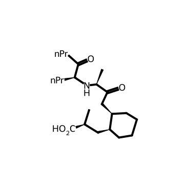 CCCC(=O)[C@H](CCC)N[C@@H](C)C(=O)C[C@H]1CCCC[C@H]1C[C@H](C)C(=O)O